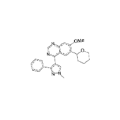 COc1cc2ncnc(-c3cn(C)nc3-c3ccccc3)c2cc1C1CCCCO1